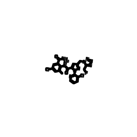 Cc1cc(Cl)cc(C(N)=O)c1NC(=O)c1cc(Cn2nnnc2CF)nn1-c1ncccc1Cl